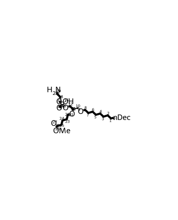 CCCCCCCCCCCCCCCCCCOC[C@H](CO[P@](=O)(O)OCCN)OCCCCC(=O)OC